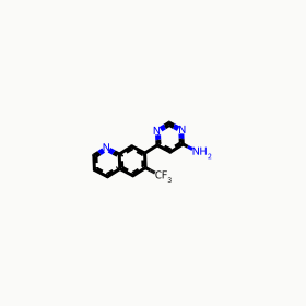 Nc1cc(-c2cc3ncccc3cc2C(F)(F)F)ncn1